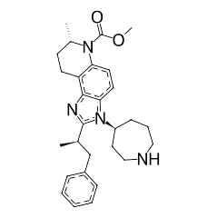 COC(=O)N1c2ccc3c(nc([C@H](C)Cc4ccccc4)n3[C@H]3CCCNCC3)c2CC[C@@H]1C